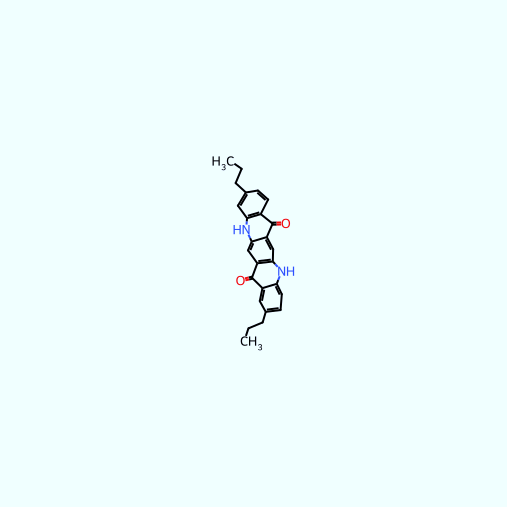 CCCc1ccc2c(=O)c3cc4[nH]c5ccc(CCC)cc5c(=O)c4cc3[nH]c2c1